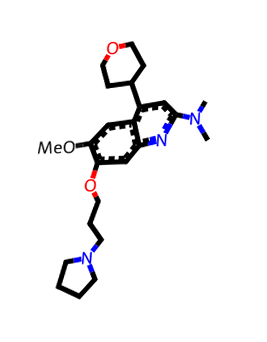 COc1cc2c(C3CCOCC3)cc(N(C)C)nc2cc1OCCCN1CCCC1